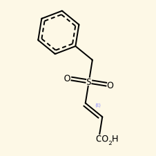 O=C(O)/C=C/S(=O)(=O)Cc1ccccc1